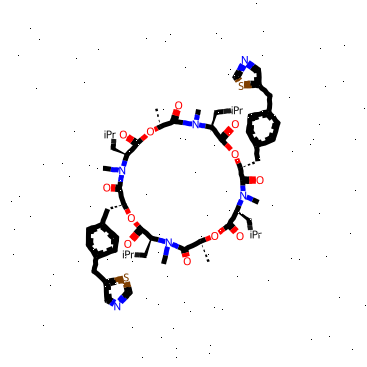 CC(C)C[C@H]1C(=O)O[C@H](Cc2ccc(Cc3cncs3)cc2)C(=O)N(C)[C@@H](CC(C)C)C(=O)O[C@H](C)C(=O)N(C)[C@@H](CC(C)C)C(=O)O[C@H](Cc2ccc(Cc3cncs3)cc2)C(=O)N(C)[C@@H](CC(C)C)C(=O)O[C@H](C)C(=O)N1C